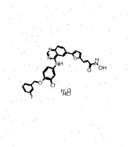 Cl.O.O=C(/C=C/c1ccc(-c2ccc3ncnc(Nc4ccc(OCc5cccc(F)c5)c(Cl)c4)c3c2)o1)NO